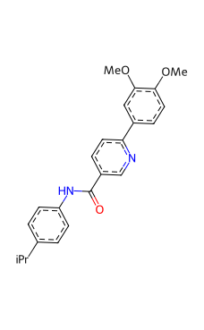 COc1ccc(-c2ccc(C(=O)Nc3ccc(C(C)C)cc3)cn2)cc1OC